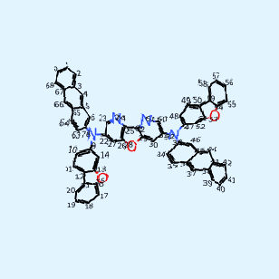 c1ccc2cc3cc(N(c4ccc5c(c4)oc4ccccc45)c4cnc5c(c4)oc4cc(N(c6ccc7cc8ccccc8cc7c6)c6ccc7c(c6)oc6ccccc67)cnc45)ccc3cc2c1